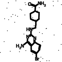 NC(=O)C1CCC(CNc2nc(N)c3cc(Br)ccc3n2)CC1